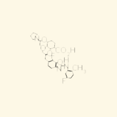 Cc1ccc(F)cc1Nc1nc2ccc(CC(=O)COCC(O[C@H]3CC[C@H](C(=O)O)CC3)N3CCCC3)c(F)c2o1